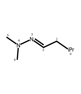 CC(C)C/C=N/N(C)C